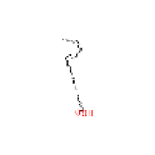 CCCCC/C=C\C/C=C\C/C=C\C/C=C\CCCCCCCCCCCCCCCCCC(=O)O